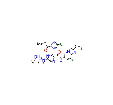 COC(=O)c1cnc(Cl)cn1.Cc1cn2cc(NC(=O)c3cnc(N4CC[C@@H](C5(N)CC5)C4)cn3)cc(F)c2n1